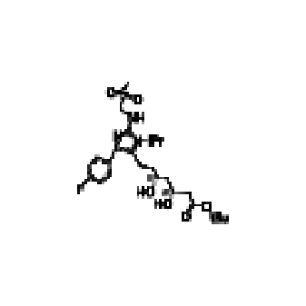 CC(C)n1c(NCS(C)(=O)=O)nc(-c2ccc(F)cc2)c1CC[C@@H](O)C[C@@H](O)CC(=O)OC(C)(C)C